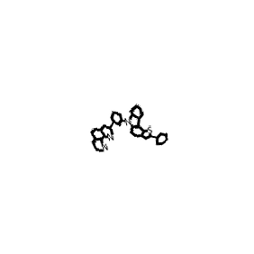 c1ccc(-c2cc3ccc4c(c5ccccc5n4-c4cccc(-c5cnc6c(ccc7cccnc76)c5)c4)c3s2)cc1